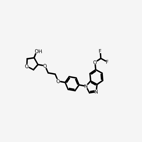 OC1COCC1OCCOc1ccc(-n2cnc3ccc(OC(F)F)cc32)cc1